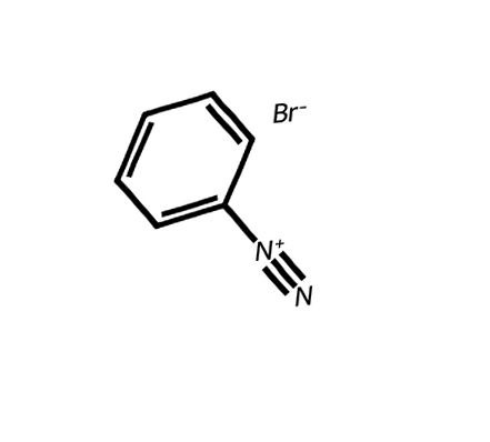 N#[N+]c1ccccc1.[Br-]